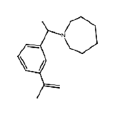 C=C(C)c1cccc(C(C)N2CCCCCC2)c1